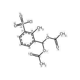 CC(=O)OC(OC(C)=O)c1cccc(S(=O)(=O)Cl)c1C